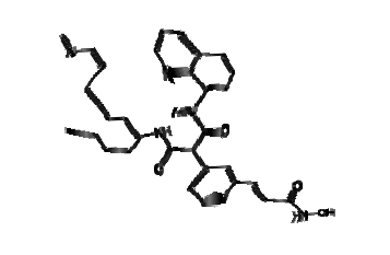 C=C\C=C/C(=C\C=C/C=C\N=C)NC(=O)C(C(=O)Nc1cccc2cccnc12)c1cccc(/C=C/C(=O)NO)c1